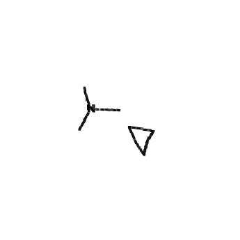 C1CC1.CN(C)C